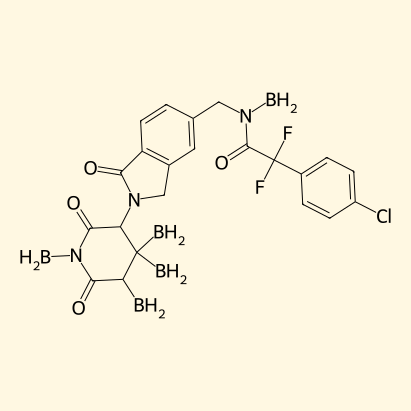 BC1C(=O)N(B)C(=O)C(N2Cc3cc(CN(B)C(=O)C(F)(F)c4ccc(Cl)cc4)ccc3C2=O)C1(B)B